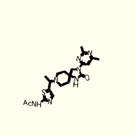 CC(=O)Nc1ncc(C(C)N2CCC3(CC2)CN(c2cc(C)nc(C)n2)C(=O)N3)s1